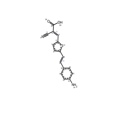 N#C/C(=C\c1ccc(/C=C/c2ccc(N)cc2)s1)C(=O)O